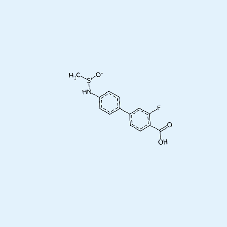 C[S+]([O-])Nc1ccc(-c2ccc(C(=O)O)c(F)c2)cc1